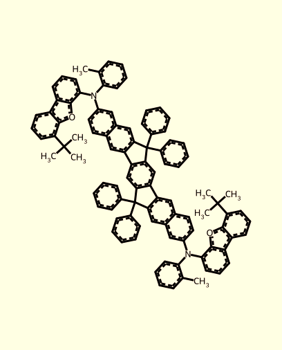 Cc1ccccc1N(c1ccc2cc3c(cc2c1)C(c1ccccc1)(c1ccccc1)c1cc2c(cc1-3)C(c1ccccc1)(c1ccccc1)c1cc3cc(N(c4ccccc4C)c4cccc5c4oc4c(C(C)(C)C)cccc45)ccc3cc1-2)c1cccc2c1oc1c(C(C)(C)C)cccc12